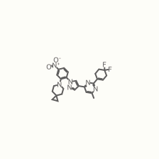 Cc1cc(-c2cnn(-c3ccc([N+](=O)[O-])cc3N3CCC4(CC3)CC4)c2)nc(C2=CCC(F)(F)CC2)n1